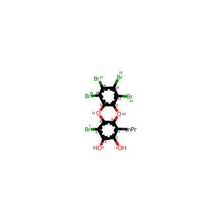 CCCc1c(O)c(O)c(Br)c2c1Oc1c(Br)c(Br)c(Br)c(Br)c1O2